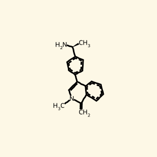 C=C1c2ccccc2C(c2ccc([C@H](C)N)cc2)=CN1C